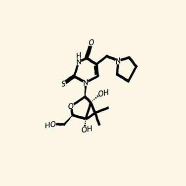 CC1(C)[C@]2(O)[C@H](n3cc(CN4CCCC4)c(=O)[nH]c3=S)O[C@H](CO)[C@]12O